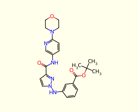 CC(C)(C)OC(=O)c1cccc(Nn2ccc(C(=O)Nc3ccc(N4CCOCC4)nc3)n2)c1